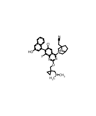 CN(C)CC1(COc2nc(N3CC4CCC(CC#N)(C3)N4)c3cc(Cl)c(-c4cc(O)cc5ccccc45)c(F)c3n2)CC1